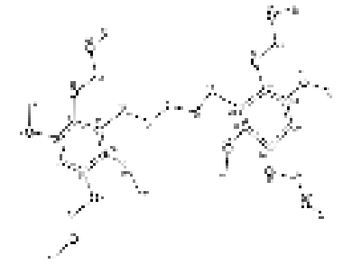 COCOc1cc(OC)c(OCOC)c(CCCCCc2c(OC)c(OCOC)cc(OC)c2OCOC)c1OC